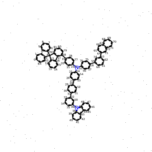 c1ccc(C2(c3ccccc3)c3ccccc3-c3c(-c4ccc(N(c5ccc(-c6ccc(-c7cccc(-n8c9ccccc9c9ccccc98)c7)cc6)cc5)c5ccc(-c6cccc(-c7ccc8ccccc8c7)c6)cc5)cc4)cccc32)cc1